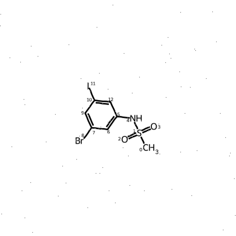 CS(=O)(=O)Nc1cc(Br)cc(I)c1